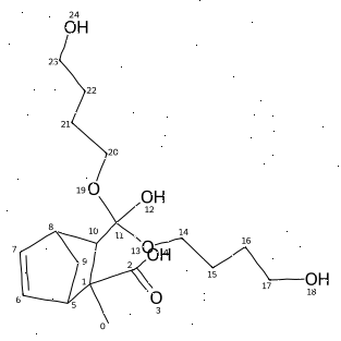 CC1(C(=O)O)C2C=CC(C2)C1C(O)(OCCCCO)OCCCCO